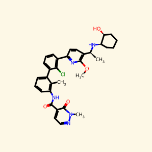 COc1nc(-c2cccc(-c3cccc(NC(=O)c4ccnn(C)c4=O)c3C)c2Cl)ccc1[C@H](C)N[C@@H]1CCCC[C@@H]1O